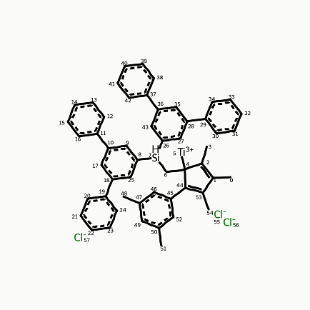 CC1=C(C)[C]([Ti+3])(C[SiH](c2cc(-c3ccccc3)cc(-c3ccccc3)c2)c2cc(-c3ccccc3)cc(-c3ccccc3)c2)C(c2cc(C)cc(C)c2)=C1C.[Cl-].[Cl-].[Cl-]